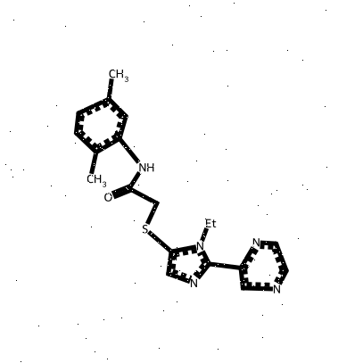 CCn1c(SCC(=O)Nc2cc(C)ccc2C)cnc1-c1cnccn1